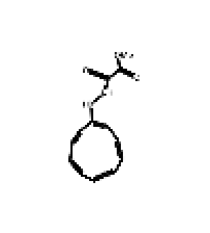 COC(=O)C(=O)NBc1ccccccccc1